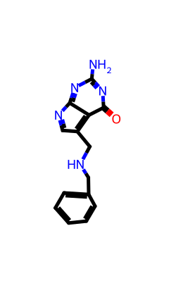 NC1=NC(=O)C2=C(CNCc3ccccc3)C=NC2=N1